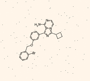 Nc1nccn2c(C3CCC3)nc(-c3cccc(OCc4ccccc4Br)c3)c12